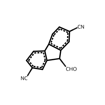 N#Cc1ccc2c(c1)C(C=O)c1cc(C#N)ccc1-2